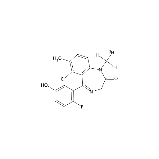 [3H]C([3H])([3H])N1C(=O)CN=C(c2cc(O)ccc2F)c2c1ccc(C)c2Cl